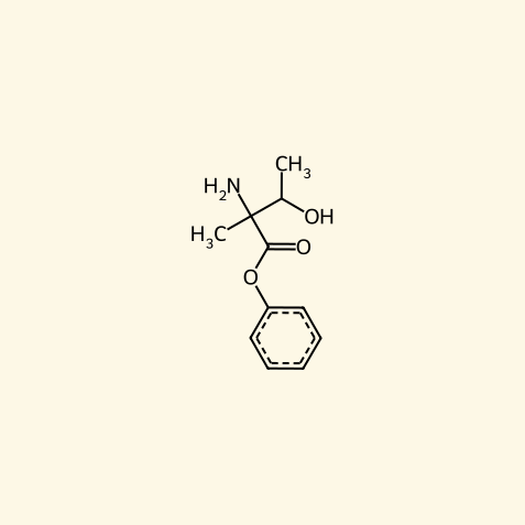 CC(O)C(C)(N)C(=O)Oc1ccccc1